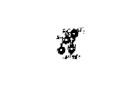 CCCN(CCC)c1cnc(N(Cc2cc(C(F)(F)F)cc(C(F)(F)F)c2)[C@H]2C[C@@H](CC)N(C(C)=O)[C@@H](Cc3ccccc3)C2)nc1